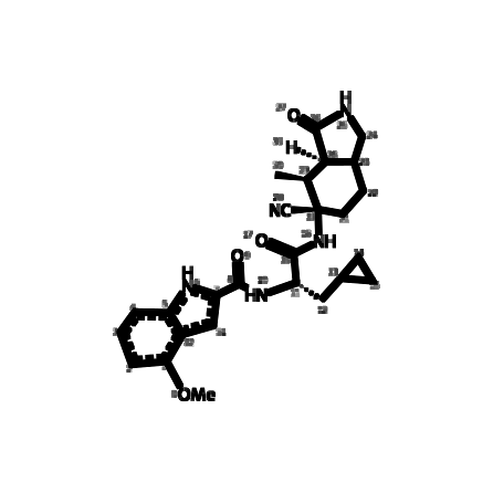 COc1cccc2[nH]c(C(=O)N[C@@H](CC3CC3)C(=O)N[C@@]3(C#N)CCC4CNC(=O)[C@@H]4[C@@H]3C)cc12